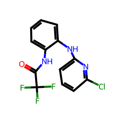 O=C(Nc1ccccc1Nc1cccc(Cl)n1)C(F)(F)F